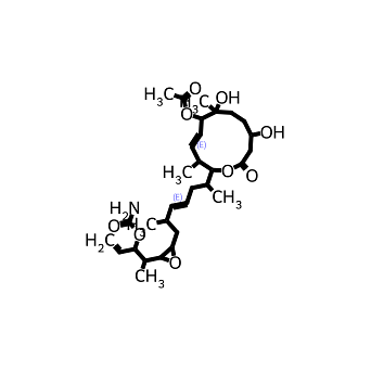 C=CC(OC(N)=O)C(C)C1OC1CC(C)/C=C/CC(C)C1OC(=O)CC(O)CCC(C)(O)C(OC(C)=O)/C=C/C1C